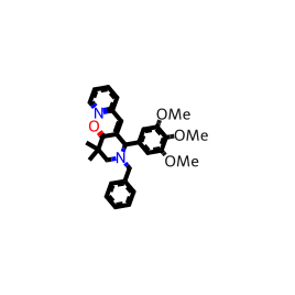 COc1cc(C2C(=Cc3ccccn3)C(=O)C(C)(C)CN2Cc2ccccc2)cc(OC)c1OC